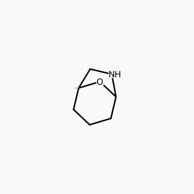 C1C[C]2CNC(C1)O2